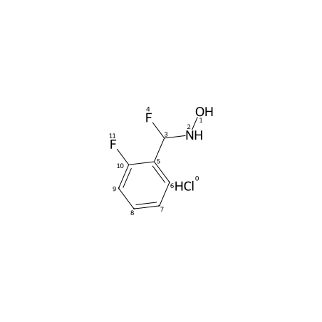 Cl.ONC(F)c1ccccc1F